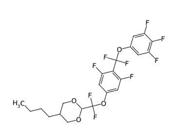 CCCCC1COC(C(F)(F)Oc2cc(F)c(C(F)(F)Oc3cc(F)c(F)c(F)c3)c(F)c2)OC1